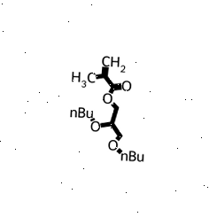 C=C(C)C(=O)OCC(COCCCC)OCCCC